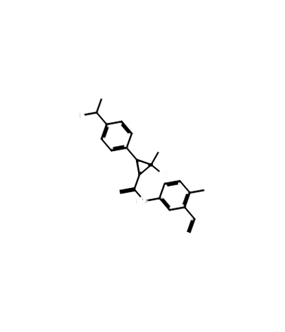 C=Cc1cc(NC(=C)C2C(c3ccc(C(C)F)cc3)C2(C)Cl)ccc1C